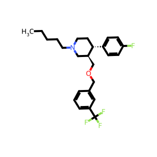 CCCCCN1CC[C@H](c2ccc(F)cc2)[C@@H](COCc2cccc(C(F)(F)F)c2)C1